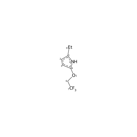 CCc1ccc(OCC(F)(F)F)[nH]1